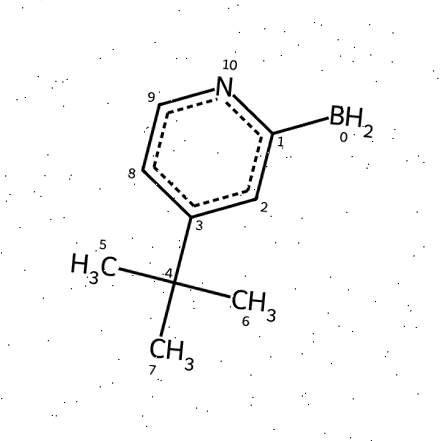 Bc1cc(C(C)(C)C)ccn1